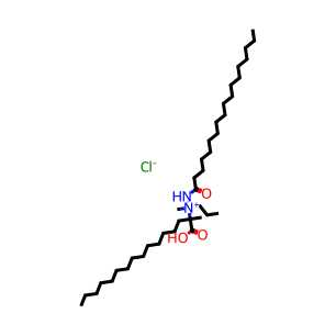 CCCCCCCCCCCCCCCCCC(=O)N[N+](C)(CCC)C(C)(CCCCCCCCCCCCCC)C(=O)O.[Cl-]